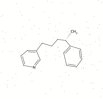 C[C@@H](CCCc1cccnc1)c1ccccc1